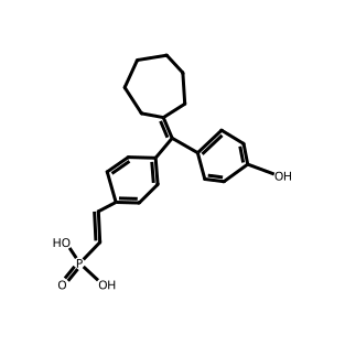 O=P(O)(O)/C=C/c1ccc(C(=C2CCCCCC2)c2ccc(O)cc2)cc1